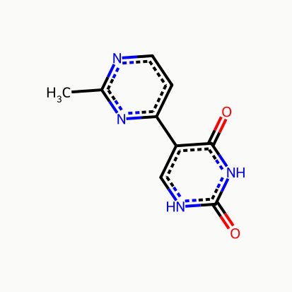 Cc1nccc(-c2c[nH]c(=O)[nH]c2=O)n1